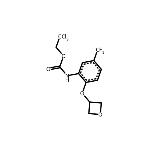 O=C(Nc1cc(C(F)(F)F)ccc1OC1COC1)OCC(Cl)(Cl)Cl